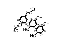 CCOCC.CCOCc1ccccc1.Oc1ccc(O)cc1.Oc1ccc(O)cc1